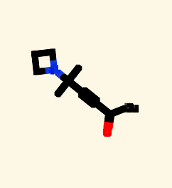 CCC(C)C(=O)C#CC(C)(C)N1CCC1